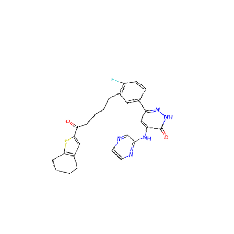 O=C(CCCCc1cc(-c2cc(Nc3cnccn3)c(=O)[nH]n2)ccc1F)c1cc2c(s1)CCCC2